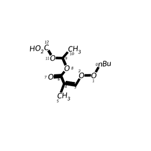 CCCCOOC=C(C)C(=O)OC(C)OC(=O)O